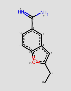 CCc1cc2cc(C(=N)N)ccc2o1